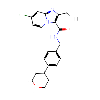 CCc1nc2cc(Cl)ccn2c1C(=O)NCc1ccc(C2CCOCC2)cc1